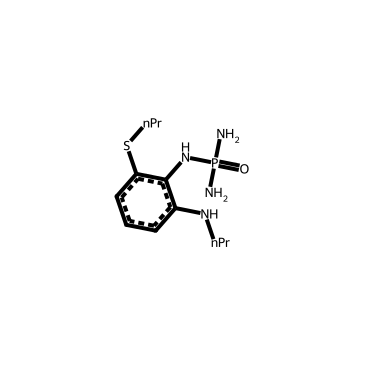 CCCNc1cccc(SCCC)c1NP(N)(N)=O